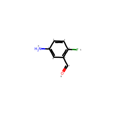 Nc1ccc(F)c(C=O)c1